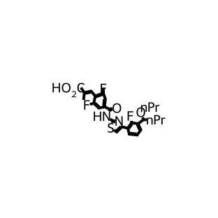 CCCOC(CCC)c1cccc(-c2csc(NC(=O)c3cc(F)c(C=C(C)C(=O)O)c(F)c3)n2)c1F